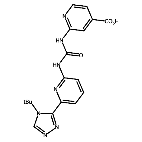 CC(C)(C)n1cnnc1-c1cccc(NC(=O)Nc2cc(C(=O)O)ccn2)n1